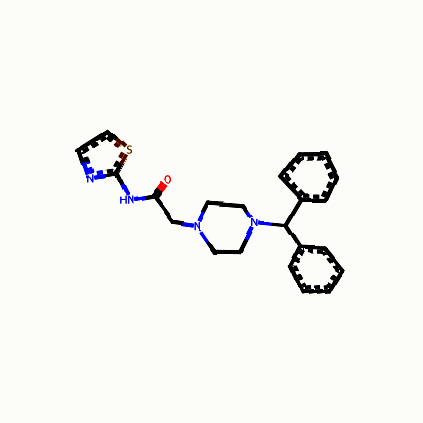 O=C(CN1CCN(C(c2ccccc2)c2ccccc2)CC1)Nc1nccs1